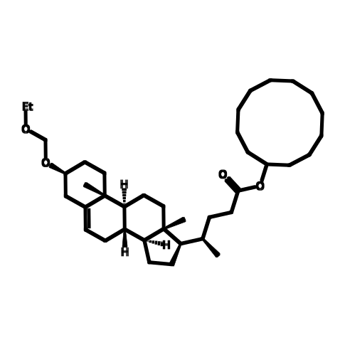 CCOCO[C@H]1CC[C@@]2(C)C(=CC[C@H]3[C@@H]4CC[C@H]([C@H](C)CCC(=O)OC5CCCCCCCCCCC5)[C@@]4(C)CC[C@@H]32)C1